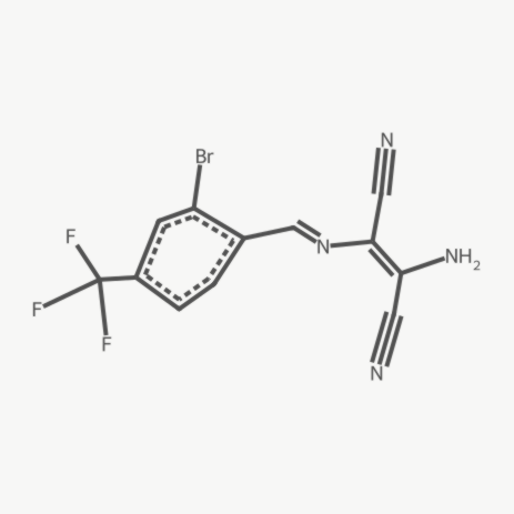 N#C/C(N)=C(C#N)\N=C\c1ccc(C(F)(F)F)cc1Br